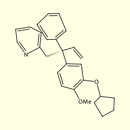 C=C[C@](Cc1ccccn1)(c1ccccc1)c1ccc(OC)c(OC2CCCC2)c1